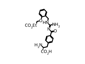 CCOC(=O)COc1ccccc1CN/C(N)=N/C(=O)c1ccc(C[C@H](N)C(=O)O)cc1